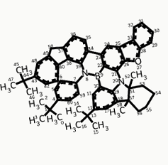 CC(C)(C)c1ccc(N2B3c4cc(C(C)(C)C)cc5c4N(c4c3c(cc3c4oc4ccccc43)-c3ccc4c(c32)-c2ccc(C(C)(C)C)cc2C4)C2(C)CCCCC52C)cc1